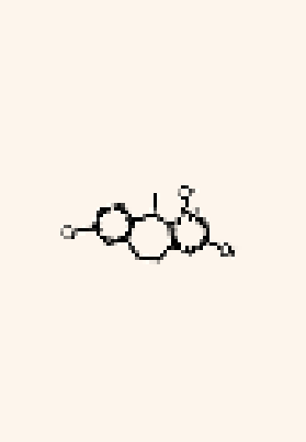 CC1c2ccc(Cl)cc2CCc2cc(Br)c[n+]([O-])c21